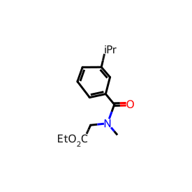 CCOC(=O)CN(C)C(=O)c1cccc(C(C)C)c1